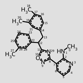 CNc1ncccc1-c1noc(C(Cc2ccc(C)c(C)c2)c2cccc(C)c2)n1